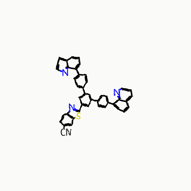 N#Cc1ccc2nc(-c3cc(-c4ccc(-c5cccc6cccnc56)cc4)cc(-c4ccc(-c5cccc6cccnc56)cc4)c3)sc2c1